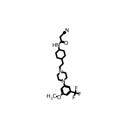 COc1cc(N2CCN(CCC3CCC(NC(=O)CC#N)CC3)CC2)cc(C(F)(F)F)c1